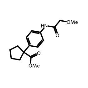 COCC(=O)Nc1ccc(C2(C(=O)OC)CCCC2)cc1